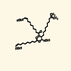 CCCCCCCC/C=C\CCCCCCCC(=O)OC(CCCCCCCC)C(CCCCCCCCN(C)C)OC(=O)CCCCCCC/C=C\CCCCCCCC